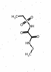 CCS(=O)(=O)NC(=O)C(=O)NSC